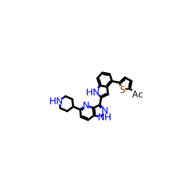 CC(=O)c1ccc(-c2cccc3[nH]c(-c4n[nH]c5ccc(C6CCNCC6)nc45)cc23)s1